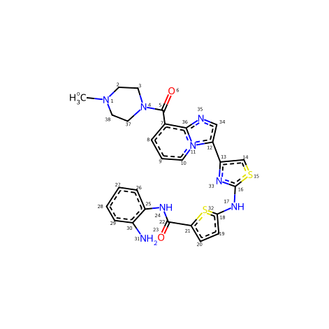 CN1CCN(C(=O)c2cccn3c(-c4csc(Nc5ccc(C(=O)Nc6ccccc6N)s5)n4)cnc23)CC1